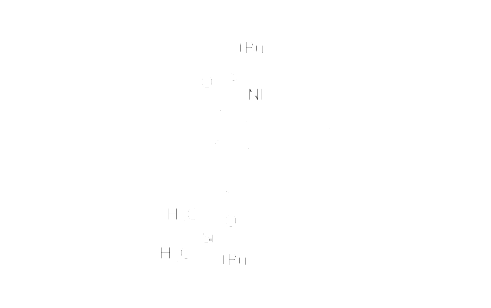 CC(C)(C)[S+]([O-])NC1(c2ccccc2)C2CC3CC1CC(O[Si](C)(C)C(C)(C)C)(C3)C2